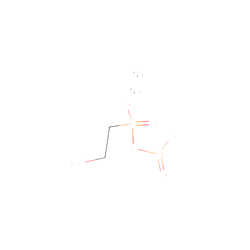 O=[PH]([O-])OP(=O)([O-])CCO.[Na+].[Na+]